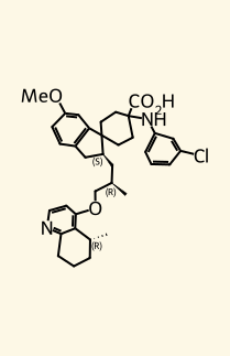 COc1ccc2c(c1)C1(CCC(Nc3cccc(Cl)c3)(C(=O)O)CC1)[C@@H](C[C@@H](C)COc1ccnc3c1[C@H](C)CCC3)C2